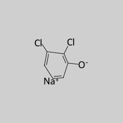 [Na+].[O-]c1cccc(Cl)c1Cl